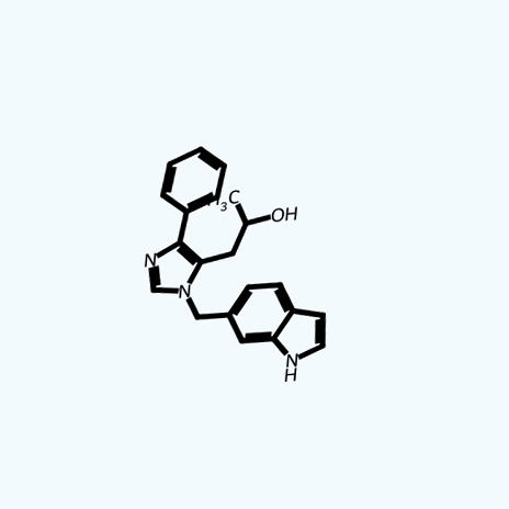 CC(O)Cc1c(-c2ccccc2)ncn1Cc1ccc2cc[nH]c2c1